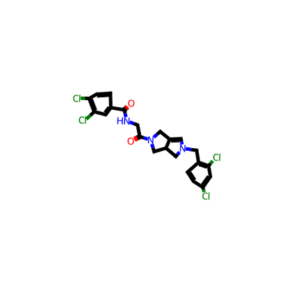 O=C(NCC(=O)N1CC2=CN(Cc3ccc(Cl)cc3Cl)CC2C1)c1ccc(Cl)c(Cl)c1